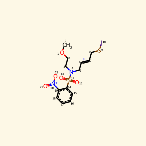 COCCN(C/C=C/CSI)S(=O)(=O)c1ccccc1[N+](=O)[O-]